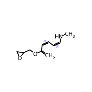 C=C(/C=C\C=C/NC)OCC1CO1